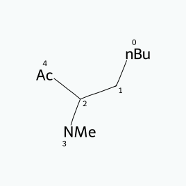 CCCCCC(NC)C(C)=O